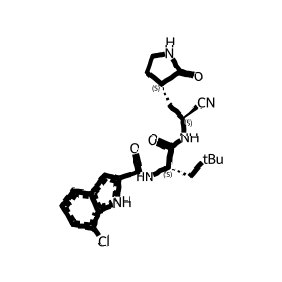 CC(C)(C)C[C@H](NC(=O)c1cc2cccc(Cl)c2[nH]1)C(=O)N[C@H](C#N)C[C@@H]1CCNC1=O